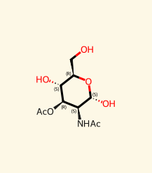 CC(=O)N[C@H]1[C@@H](OC(C)=O)[C@H](O)[C@@H](CO)O[C@@H]1O